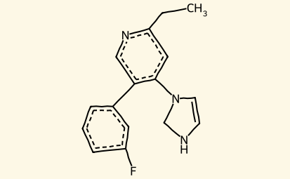 CCc1cc(N2C=CNC2)c(-c2cccc(F)c2)cn1